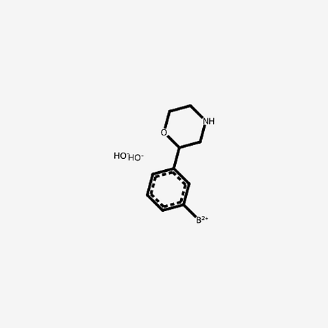 [B+2]c1cccc(C2CNCCO2)c1.[OH-].[OH-]